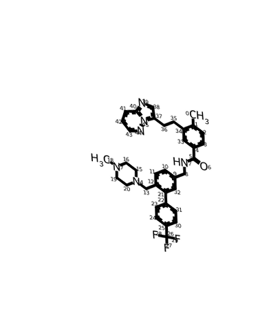 Cc1ccc(C(=O)NCc2ccc(CN3CCN(C)CC3)c(-c3ccc(C(F)(F)F)cc3)c2)cc1CCc1cnc2cccnn12